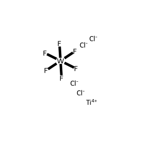 [Cl-].[Cl-].[Cl-].[Cl-].[F][W]([F])([F])([F])([F])[F].[Ti+4]